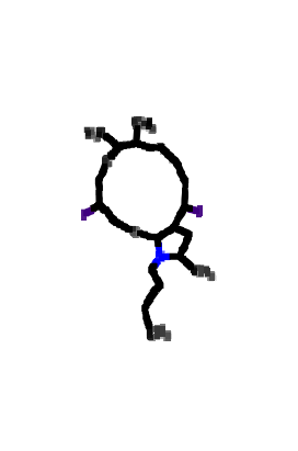 CCCCN1C(C)CC2C(I)CCCC(C)C(C)CCC(I)CCC21